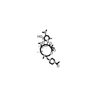 CO[C@]1(C)C[C@@H](C)CN(C)[C@H](CN2CCN(C(C)=O)CC2)COC(=O)C(C)(C)C(=O)[C@H](C)[C@H]1O[C@@H]1O[C@H](C)C[C@H](N(C)C)[C@H]1O